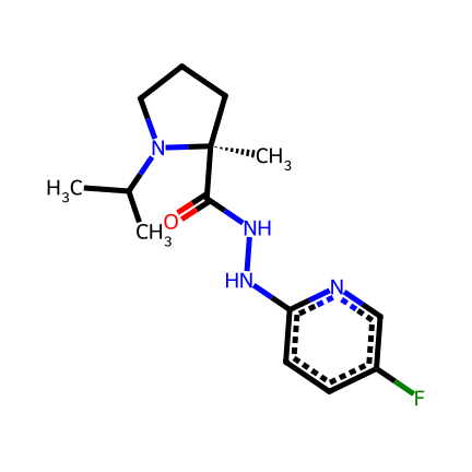 CC(C)N1CCC[C@@]1(C)C(=O)NNc1ccc(F)cn1